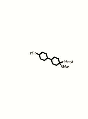 CCCCCCCC1(SC)CCC(C2CCC(CCC)CC2)CC1